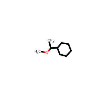 [CH2]C(OC)C1CCCCC1